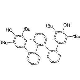 Cc1cccc(-c2ccccc2-c2cc(C(C)(C)C)c(O)c(C(C)(C)C)c2)c1-c1ccccc1-c1cc(C(C)(C)C)c(O)c(C(C)(C)C)c1